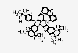 CC(C)(C)c1ccc(N2c3cc4c(cc3B3c5sc6cc7c(cc6c5N(c5cccc6oc8ccccc8c56)c5cc(I)cc2c53)C(C)(C)CCC7(C)C)C(C)(C)CCC4(C)C)cc1